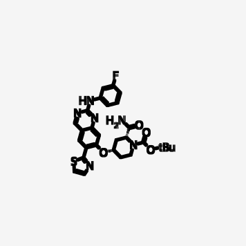 CC(C)(C)OC(=O)N1CC[C@H](Oc2cc3nc(Nc4cccc(F)c4)ncc3cc2-c2nccs2)C[C@@H]1C(N)=O